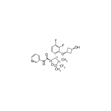 C[C@H]1[C@@H](c2ccc(F)c(F)c2O[C@H]2C[C@@H](O)C2)[C@H](C(=O)Nc2cccnc2)O[C@@]1(C)C(F)(F)F